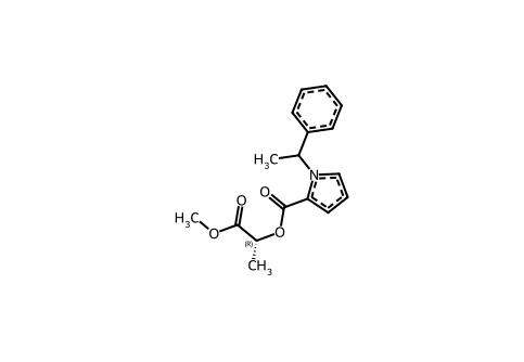 COC(=O)[C@@H](C)OC(=O)c1cccn1C(C)c1ccccc1